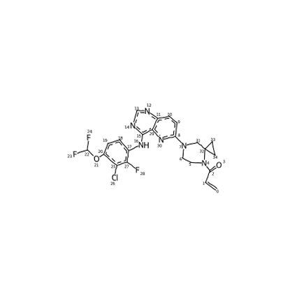 C=CC(=O)N1CCN(c2ccc3ncnc(Nc4ccc(OC(F)F)c(Cl)c4F)c3n2)CC12CC2